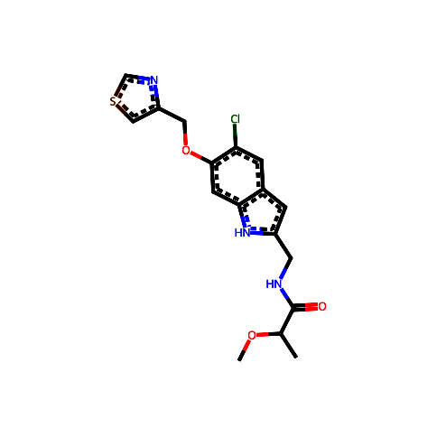 COC(C)C(=O)NCc1cc2cc(Cl)c(OCc3cscn3)cc2[nH]1